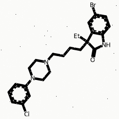 CCC1(CCCCN2CCN(c3cccc(Cl)c3)CC2)C(=O)Nc2ccc(Br)cc21